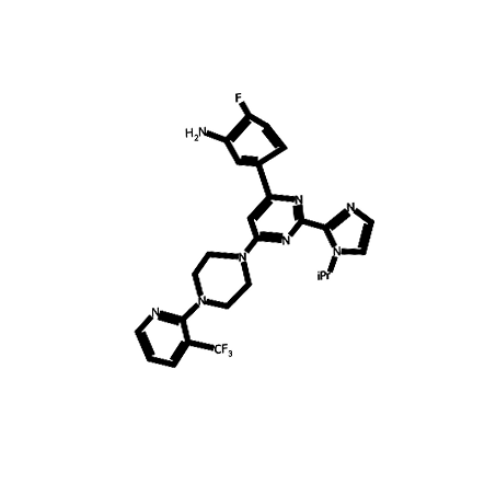 CC(C)n1ccnc1-c1nc(-c2ccc(F)c(N)c2)cc(N2CCN(c3ncccc3C(F)(F)F)CC2)n1